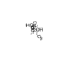 CCCC1OC(=O)C(C(CC)N(C(=O)O)c2ccccc2)=C(O)C1CCc1ccc(F)cc1